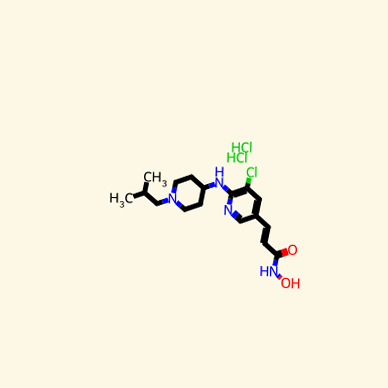 CC(C)CN1CCC(Nc2ncc(C=CC(=O)NO)cc2Cl)CC1.Cl.Cl